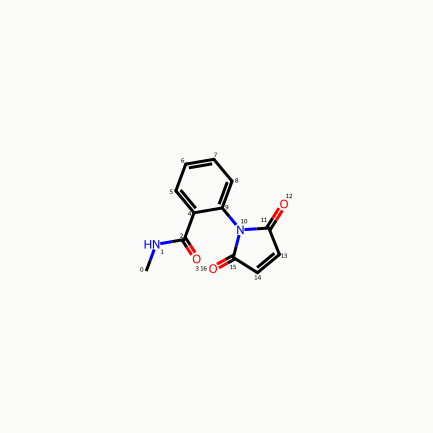 CNC(=O)c1ccccc1N1C(=O)C=CC1=O